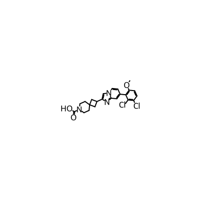 COc1ccc(Cl)c(Cl)c1-c1ccn2cc(C3CC4(CCN(C(=O)O)CC4)C3)nc2c1